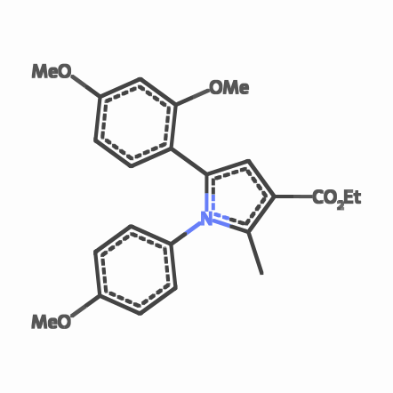 CCOC(=O)c1cc(-c2ccc(OC)cc2OC)n(-c2ccc(OC)cc2)c1C